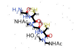 CC(=O)NCN(CC(=O)O)C(=O)C(CS)NC(=O)CN(CNC(C)=O)C(=O)C(CS)NC(=O)CN